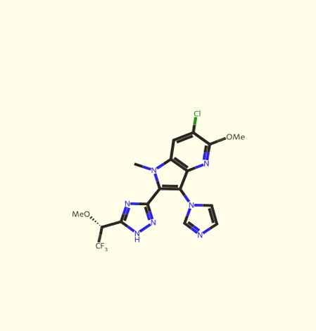 COc1nc2c(-n3ccnc3)c(-c3n[nH]c([C@@H](OC)C(F)(F)F)n3)n(C)c2cc1Cl